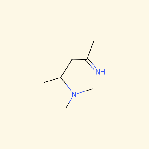 [CH2]C(=N)CC(C)N(C)C